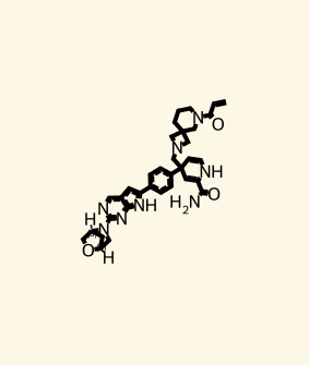 C=CC(=O)N1CCCC2(CN(CC3(c4ccc(-c5cc6cnc(N7C[C@@H]8C[C@H]7CO8)nc6[nH]5)cc4)C=CNC(C(N)=O)=C3)C2)C1